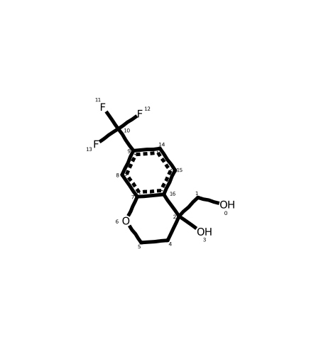 OCC1(O)CCOc2cc(C(F)(F)F)ccc21